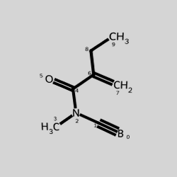 B#CN(C)C(=O)C(=C)CC